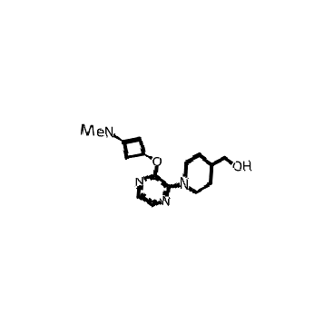 CN[C@H]1C[C@@H](Oc2nccnc2N2CCC(CO)CC2)C1